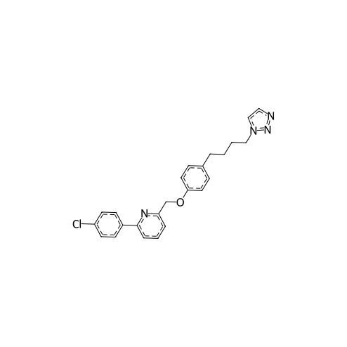 Clc1ccc(-c2cccc(COc3ccc(CCCCn4ccnn4)cc3)n2)cc1